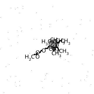 C=CC(=O)OCCOCCC[Si]1(C)O[Si](C)(C)O[Si](C)(CCC)O[Si](CCC)(CCC)O1